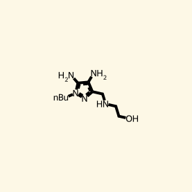 CCCCn1nc(CNCCO)c(N)c1N